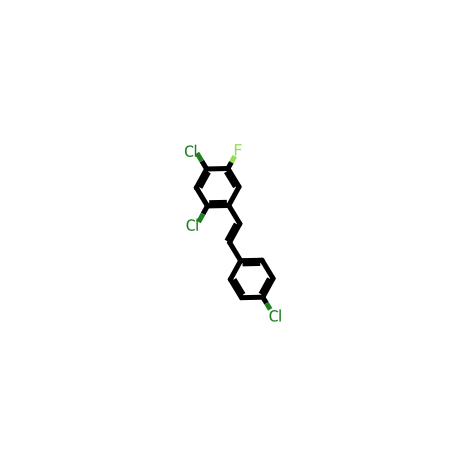 Fc1cc(C=Cc2ccc(Cl)cc2)c(Cl)cc1Cl